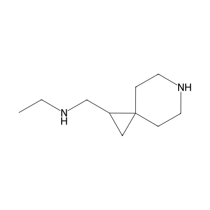 CCNCC1CC12CCNCC2